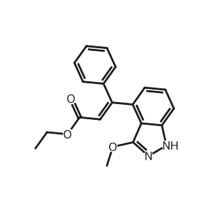 CCOC(=O)/C=C(\c1ccccc1)c1cccc2[nH]nc(OC)c12